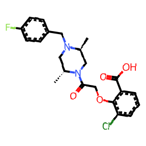 C[C@@H]1CN(Cc2ccc(F)cc2)[C@@H](C)CN1C(=O)COc1c(Cl)cccc1C(=O)O